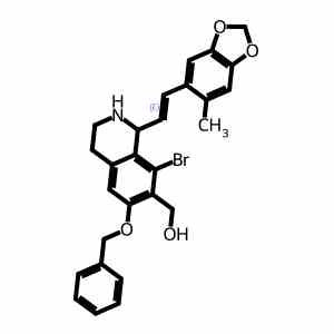 Cc1cc2c(cc1/C=C/C1NCCc3cc(OCc4ccccc4)c(CO)c(Br)c31)OCO2